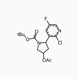 CC(=O)OC1CC(c2cc(F)cnc2Cl)N(C(=O)OC(C)(C)C)C1